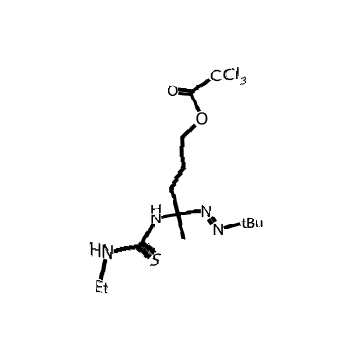 CCNC(=S)NC(C)(CCCOC(=O)C(Cl)(Cl)Cl)N=NC(C)(C)C